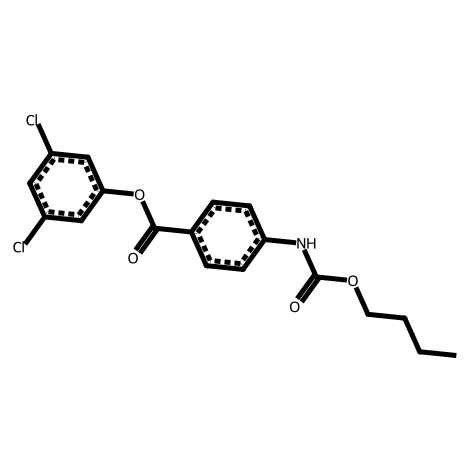 CCCCOC(=O)Nc1ccc(C(=O)Oc2cc(Cl)cc(Cl)c2)cc1